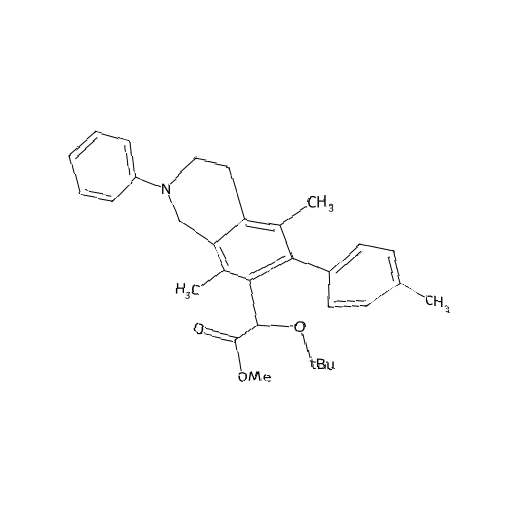 COC(=O)C(OC(C)(C)C)c1c(C)c2c(c(C)c1-c1ccc(C)cc1)CCN(c1ccccc1)C2